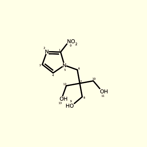 O=[N+]([O-])c1nccn1CC(CO)(CO)CO